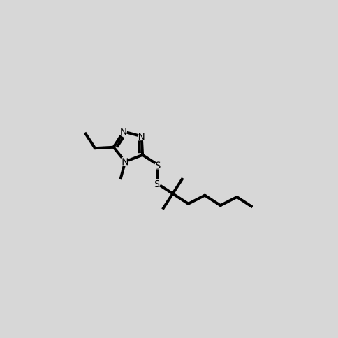 CCCCCC(C)(C)SSc1nnc(CC)n1C